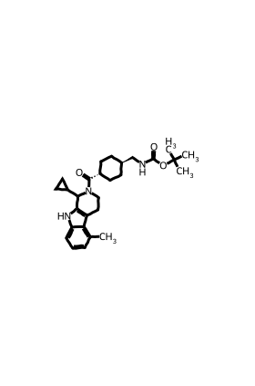 Cc1cccc2[nH]c3c(c12)CCN(C(=O)[C@H]1CC[C@H](CNC(=O)OC(C)(C)C)CC1)C3C1CC1